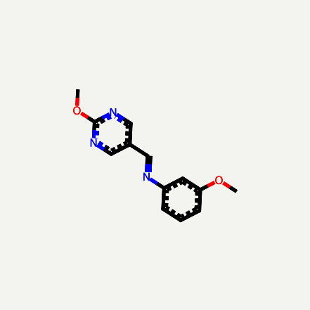 COc1cccc(N=Cc2cnc(OC)nc2)c1